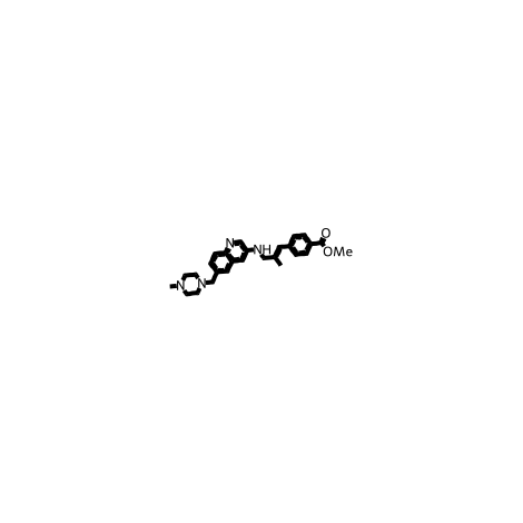 COC(=O)c1ccc(C=C(C)CNc2cnc3ccc(CN4CCN(C)CC4)cc3c2)cc1